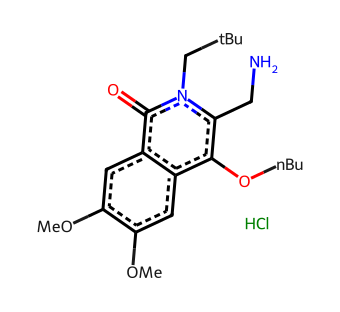 CCCCOc1c(CN)n(CC(C)(C)C)c(=O)c2cc(OC)c(OC)cc12.Cl